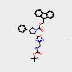 CC(C)(C)OC(=O)NCc1noc([C@@H]2C[C@@H](c3ccccc3)CN2C(=O)OCC2c3ccccc3-c3ccccc32)n1